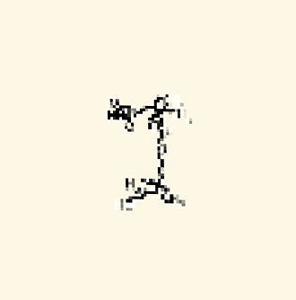 CCC(CCN1CC(=O)NC1=O)C(CC)(CC)CCCCOCCCCC(CC)(CC)CCCCO